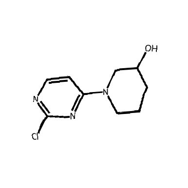 OC1CCCN(c2ccnc(Cl)n2)C1